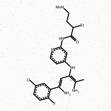 CCC(CCNC)C(=O)Nc1cc(NC(/C=C(\N)c2cc(Cl)ccc2F)=C(\C)N)ccn1